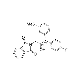 CSc1cccc([C@H](c2ccc(F)cc2)[C@@H](O)CN2C(=O)c3ccccc3C2=O)c1